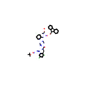 COCC(C)N(Cc1cc(F)ccc1N1CCN(C(=O)C(Cc2ccc(Cl)cc2Cl)NCCNC(=O)OC(C)(C)C)CC1)C(=O)OCC1c2ccccc2-c2ccccc21